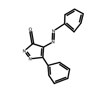 O=C1N=NC(c2ccccc2)=C1N=Nc1ccccc1